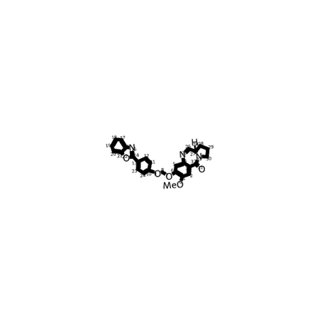 COc1cc2c(cc1OCOc1ccc(-c3nc4ccccc4o3)cc1)N=C[C@@H]1CCCN1C2=O